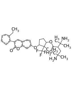 CCc1ccccc1-c1cc2ccc(OC3CCC(OC(=O)C(CC(C)(C)N)C(C)(C)N)C3(C)C(F)(F)F)cc2oc1=O